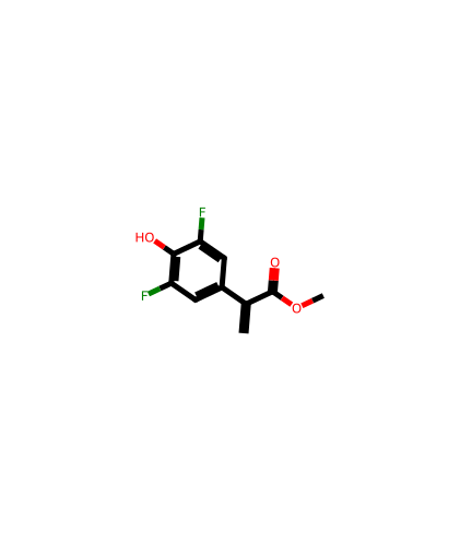 C=C(C(=O)OC)c1cc(F)c(O)c(F)c1